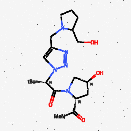 CNC(=O)[C@H]1C[C@H](O)CN1C(=O)[C@@H](n1cc(CN2CCCC2CO)nn1)C(C)(C)C